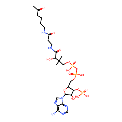 CC(=O)CCCCNC(=O)CCNC(=O)[C@H](O)C(C)(C)COP(=O)(O)OP(=O)(O)OCC1OC(n2cnc3c(N)ncnc32)C(O)C1OP(=O)(O)O